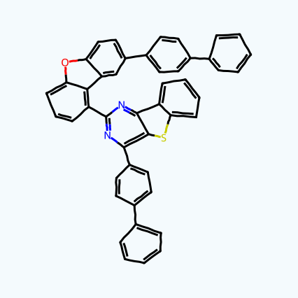 c1ccc(-c2ccc(-c3ccc4oc5cccc(-c6nc(-c7ccc(-c8ccccc8)cc7)c7sc8ccccc8c7n6)c5c4c3)cc2)cc1